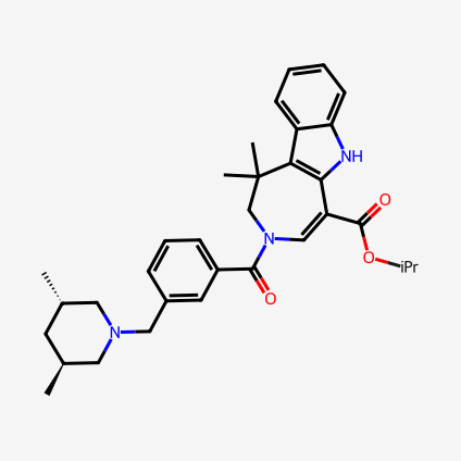 CC(C)OC(=O)C1=CN(C(=O)c2cccc(CN3C[C@@H](C)C[C@H](C)C3)c2)CC(C)(C)c2c1[nH]c1ccccc21